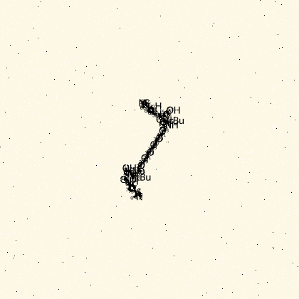 Cc1ncsc1-c1ccc(CNC(=O)[C@@H]2C[C@@H](O)CN2C(=O)[C@@H](NC(=O)COCCOCCOCCOCCOCCOCC(=O)N[C@H](C(=O)N2C[C@H](O)C[C@H]2C(=O)NCc2ccc(-c3scnc3C)cc2)C(C)(C)C)C(C)(C)C)cc1